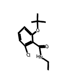 CCNC(=O)c1c(Cl)cccc1OC(C)(C)C